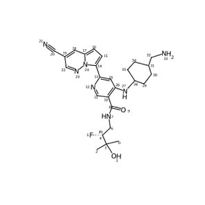 CC(C)(O)[C@H](F)CNC(=O)c1cnc(-c2ccc3cc(C#N)cnn23)cc1NC1CCC(CN)CC1